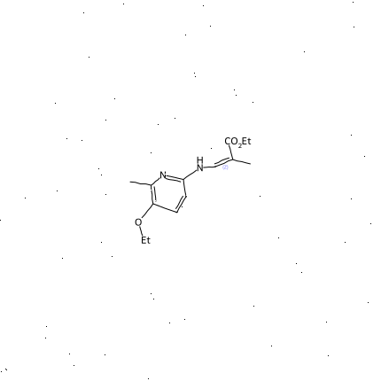 CCOC(=O)/C(C)=C\Nc1ccc(OCC)c(C)n1